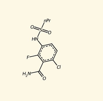 CCCS(=O)(=O)Nc1ccc(Cl)c(C(N)=O)c1F